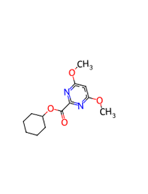 COc1cc(OC)nc(C(=O)OC2CCCCC2)n1